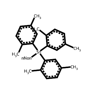 CCCCCCCC[CH2][Sn]([c]1cc(C)ccc1C)([c]1cc(C)ccc1C)[c]1cc(C)ccc1C